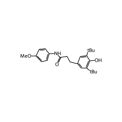 COc1ccc(NC(=O)CCc2cc(C(C)(C)C)c(O)c(C(C)(C)C)c2)cc1